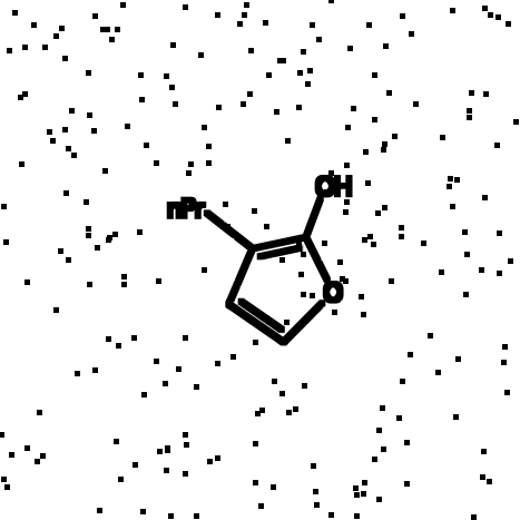 CCCc1ccoc1O